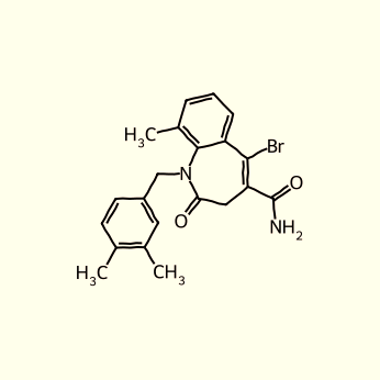 Cc1ccc(CN2C(=O)CC(C(N)=O)=C(Br)c3cccc(C)c32)cc1C